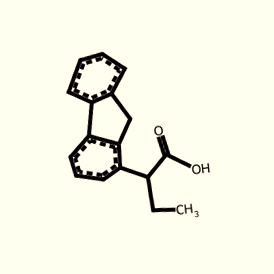 CCC(C(=O)O)c1cccc2c1Cc1ccccc1-2